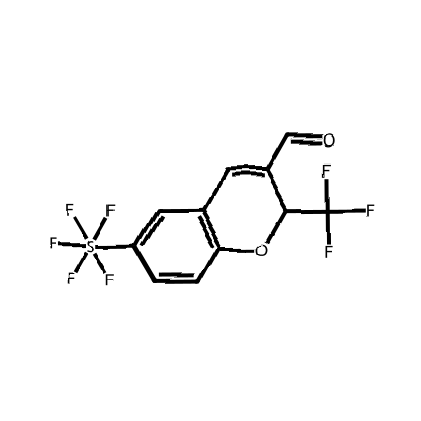 O=CC1=Cc2cc(S(F)(F)(F)(F)F)ccc2OC1C(F)(F)F